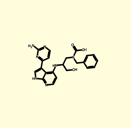 Nc1nccc(-c2c[nH]c3nccc(NC(CO)CN(Cc4ccccc4)C(=O)O)c23)n1